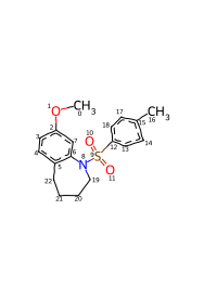 COc1ccc2c(c1)N(S(=O)(=O)c1ccc(C)cc1)CCCC2